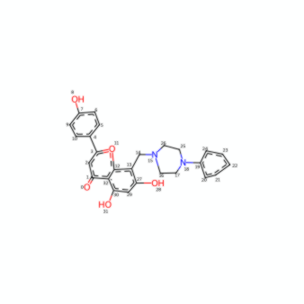 O=c1cc(-c2ccc(O)cc2)oc2c(CN3CCN(c4ccccc4)CC3)c(O)cc(O)c12